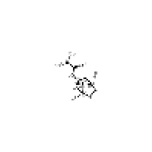 CCCC(CCC)C(=O)O[C@H]1C[C@H]2CC[C@@H](C1)[N+]2(C)C